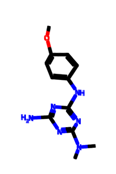 COc1ccc(Nc2nc(N)nc(N(C)C)n2)cc1